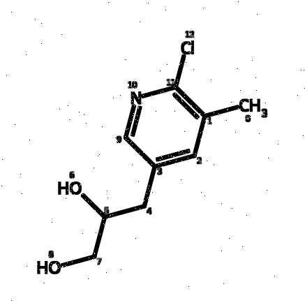 Cc1cc(CC(O)CO)cnc1Cl